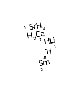 [CaH2].[LiH].[Sm].[SrH2].[Ti]